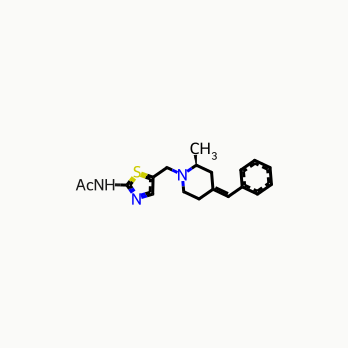 CC(=O)Nc1ncc(CN2CC/C(=C/c3ccccc3)C[C@@H]2C)s1